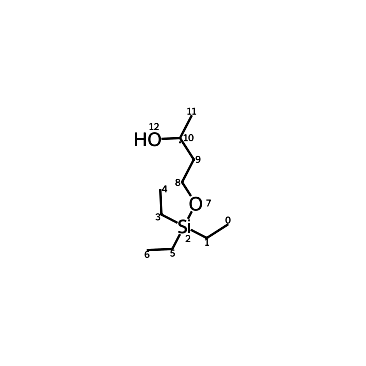 CC[Si](CC)(CC)OCC[C](C)O